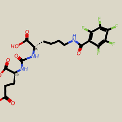 O=C(O)CC[C@H](NC(=O)N[C@@H](CCCCNC(=O)c1c(F)c(F)c(F)c(F)c1F)C(=O)O)C(=O)O